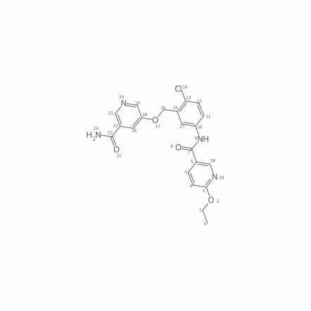 CCOc1ccc(C(=O)Nc2ccc(Cl)c(COc3cncc(C(N)=O)c3)c2)cn1